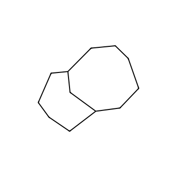 C1CCC2CCCCC(CC1)C2